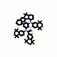 Cc1cc2c3c(c1)N(c1ccc4c(c1)C(C)(C)CCC4(C)C)c1c(sc4cc5c(cc14)C(C)(C)CCC5(C)C)B3c1cc3c(cc1N2c1cccc2c1-c1cc4ccccc4cc1C2(C)C)C(C)(C)CCC3(C)C